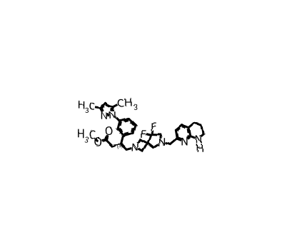 COC(=O)C[C@H](CN1CC2(CN(Cc3ccc4c(n3)NCCC4)CC2(F)F)C1)c1cccc(-n2nc(C)cc2C)c1